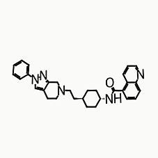 O=C(N[C@H]1CC[C@H](CCN2CCc3cn(-c4ccccc4)nc3C2)CC1)c1cccc2ncccc12